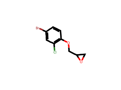 Clc1cc(Br)ccc1OCC1CO1